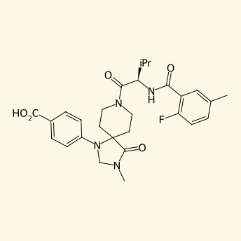 Cc1ccc(F)c(C(=O)N[C@@H](C(=O)N2CCC3(CC2)C(=O)N(C)CN3c2ccc(C(=O)O)cc2)C(C)C)c1